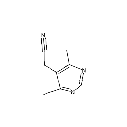 Cc1ncnc(C)c1CC#N